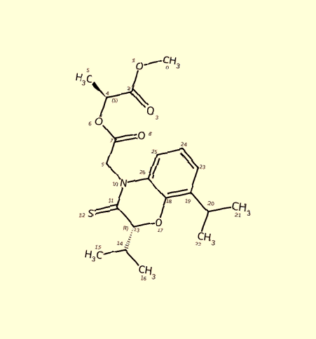 COC(=O)[C@H](C)OC(=O)CN1C(=S)[C@@H](C(C)C)Oc2c(C(C)C)cccc21